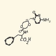 Nc1ccn(C[C@H]2COP(=O)(NC(Cc3ccccc3)C(=O)O)CO2)c(=O)n1